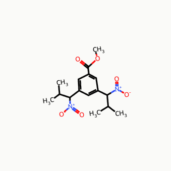 COC(=O)c1cc(C(C(C)C)[N+](=O)[O-])cc(C(C(C)C)[N+](=O)[O-])c1